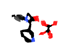 CN1CC(=O)C1c1cccnc1.O=C(O)C(=O)O